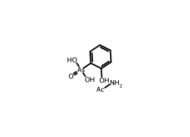 CC(N)=O.O=[As](O)(O)c1ccccc1O